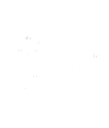 [C-]#[N+]c1ccc(Oc2ccc(B(OC(C)C)OC(C)C)c(COC3CCCCO3)c2)cc1